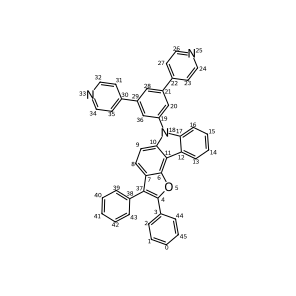 c1ccc(-c2oc3c(ccc4c3c3ccccc3n4-c3cc(-c4ccncc4)cc(-c4ccncc4)c3)c2-c2ccccc2)cc1